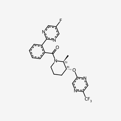 C[C@H]1[C@H](Oc2cnc(C(F)(F)F)cn2)CCCN1C(=O)c1ccccc1-c1ncc(F)cn1